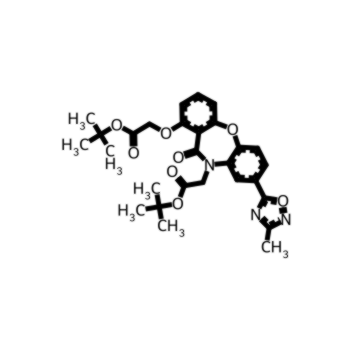 Cc1noc(-c2ccc3c(c2)N(CC(=O)OC(C)(C)C)C(=O)c2c(OCC(=O)OC(C)(C)C)cccc2O3)n1